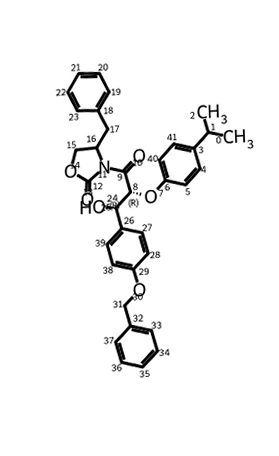 CC(C)c1ccc(O[C@@H](C(=O)N2C(=O)OCC2Cc2ccccc2)[C@H](O)c2ccc(OCc3ccccc3)cc2)cc1